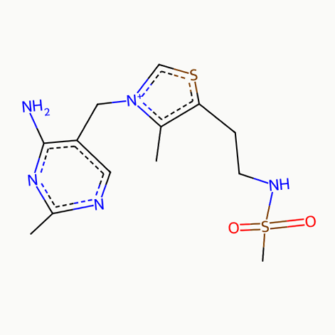 Cc1ncc(C[n+]2csc(CCNS(C)(=O)=O)c2C)c(N)n1